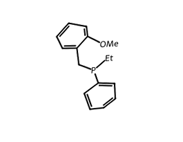 CCP(Cc1ccccc1OC)c1ccccc1